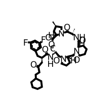 C[C@@H]1C[C@H]2C(=O)OC[C@H](NC(=O)[C@@H](CC(=O)CCC3CCCCC3)Cc3cc(F)cc(F)c3)C(=O)N3CCC[C@H]3C(=O)N3CCCC[C@H]3C(=O)N[C@@H](C)C(=O)N2C1